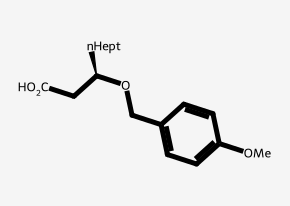 CCCCCCC[C@H](CC(=O)O)OCc1ccc(OC)cc1